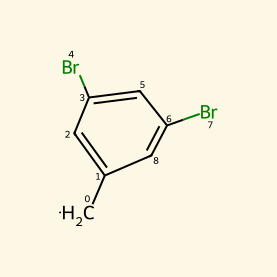 [CH2]c1cc(Br)cc(Br)c1